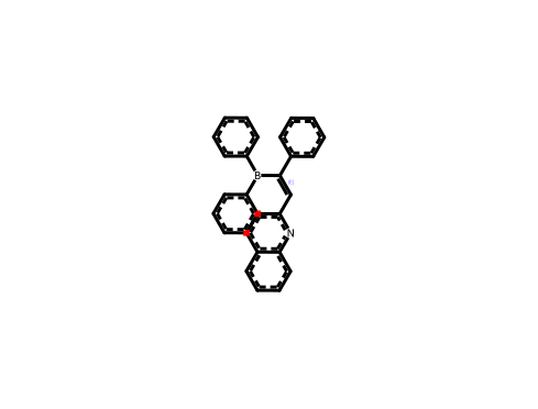 C(=C(/B(c1ccccc1)c1ccccc1)c1ccccc1)/c1ccc2ccccc2n1